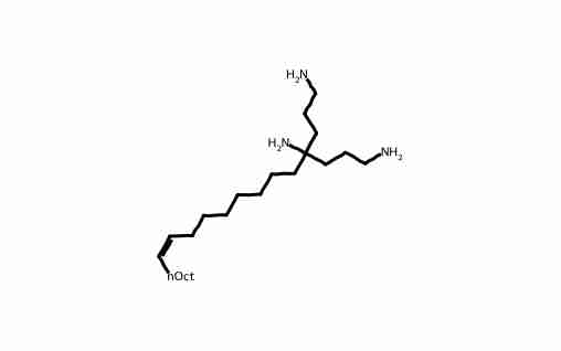 CCCCCCCC/C=C\CCCCCCCC(N)(CCCN)CCCN